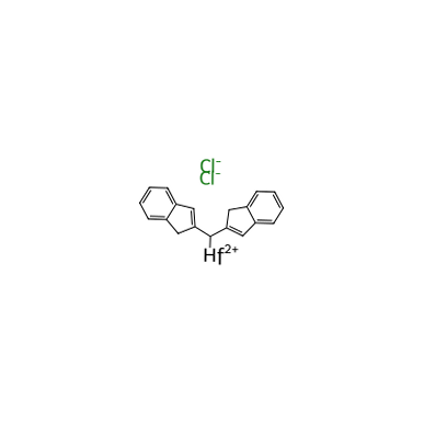 [Cl-].[Cl-].[Hf+2][CH](C1=Cc2ccccc2C1)C1=Cc2ccccc2C1